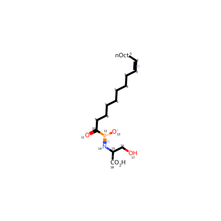 CCCCCCCC/C=C\CCCCCCCC(=O)/[P+]([O-])=N/C(CO)C(=O)O